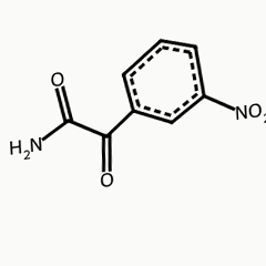 NC(=O)C(=O)c1cccc([N+](=O)[O-])c1